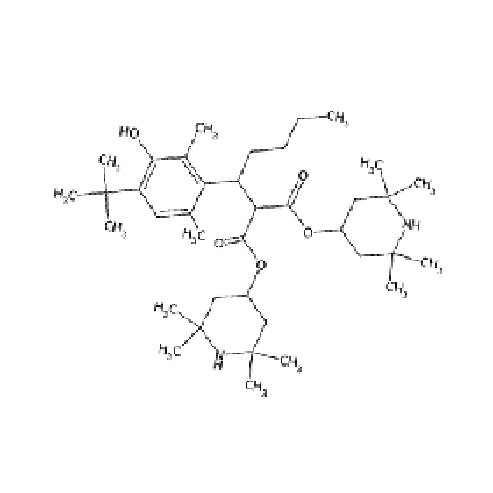 CCCCC(c1c(C)cc(C(C)(C)C)c(O)c1C)C(C(=O)OC1CC(C)(C)NC(C)(C)C1)C(=O)OC1CC(C)(C)NC(C)(C)C1